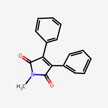 CN1C(=O)C(c2ccccc2)=C(c2ccccc2)C1=O